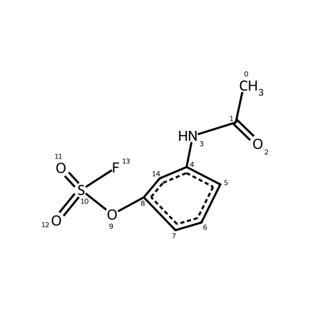 CC(=O)Nc1cccc(OS(=O)(=O)F)c1